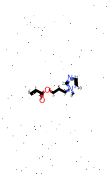 C=CC(=O)OCCC[N+]1(C)C=CN=C1